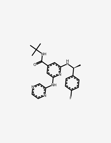 C[C@H](Nc1cc(C(=O)NC(C)(C)C)cc(Nc2cnccn2)n1)c1ccc(F)cc1